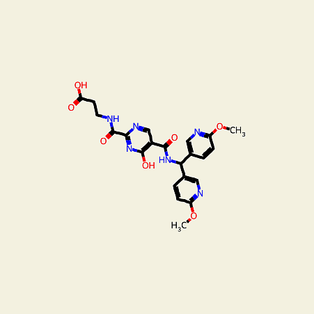 COc1ccc(C(NC(=O)c2cnc(C(=O)NCCC(=O)O)nc2O)c2ccc(OC)nc2)cn1